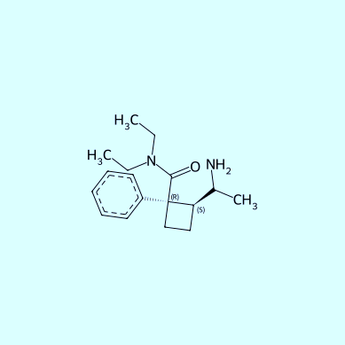 CCN(CC)C(=O)[C@]1(c2ccccc2)CC[C@@H]1C(C)N